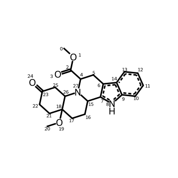 COC(=O)C1Cc2c([nH]c3ccccc23)C2CCC3(OC)CCC(=O)CC3N12